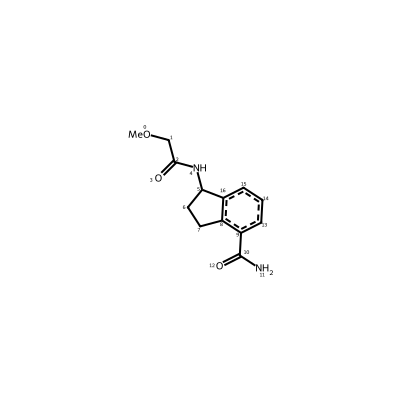 COCC(=O)NC1CCc2c(C(N)=O)cccc21